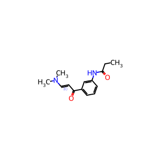 CCC(=O)Nc1cccc(C(=O)/C=C/N(C)C)c1